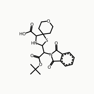 CC(C)(C)OC(=O)C(C1NC(C(=O)O)C2(CCOCC2)S1)N1C(=O)c2ccccc2C1=O